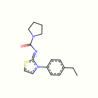 CCc1ccc(-n2ccs/c2=N\C(=O)N2CCCC2)cc1